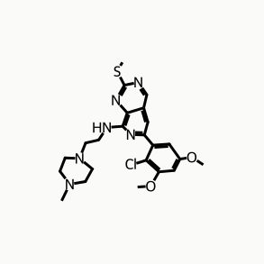 COc1cc(OC)c(Cl)c(-c2cc3cnc(SC)nc3c(NCCN3CCN(C)CC3)n2)c1